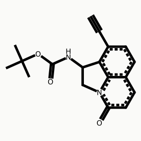 C#Cc1ccc2ccc(=O)n3c2c1C(NC(=O)OC(C)(C)C)C3